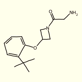 CC(C)(C)c1ccccc1OC1CN(C(=O)CN)C1